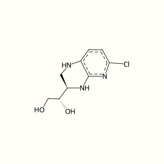 OC[C@@H](O)[C@H]1CNc2ccc(Cl)nc2N1